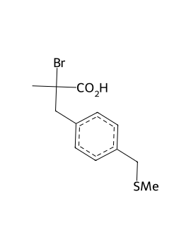 CSCc1ccc(CC(C)(Br)C(=O)O)cc1